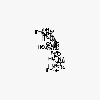 CC(C)C(=O)Nc1nc2c(ncn2[C@@H]2O[C@H](COP(=O)(S)[C@@H]3[C@@H](F)[C@@H](CO)O[C@H]3n3cnc4c(=O)[nH]c(NC(=O)C(C)C)nc43)[C@H](F)[C@H]2O)c(=O)[nH]1